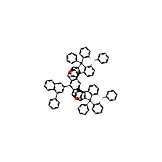 c1ccc(-c2cc(-c3c4cccc(-c5cccc6c5C(c5ccccc5)(c5ccccc5)c5ccccc5N6c5ccccc5)c4cc4c(-c5cccc6c5C(c5ccccc5)(c5ccccc5)c5ccccc5N6c5ccccc5)cccc34)cc3ccccc23)cc1